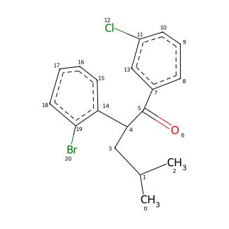 CC(C)CC(C(=O)c1cccc(Cl)c1)c1ccccc1Br